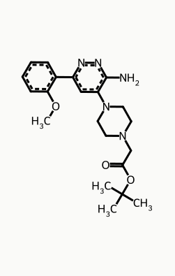 COc1ccccc1-c1cc(N2CCN(CC(=O)OC(C)(C)C)CC2)c(N)nn1